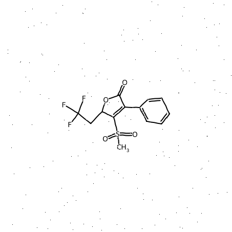 CS(=O)(=O)C1=C(c2ccccc2)C(=O)OC1CC(F)(F)F